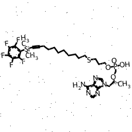 C[C@H](Cn1cnc2c(N)ncnc21)OCP(=O)(O)OCCCSCCCCCCCCCC#C[Si](C)(C)c1c(F)c(F)c(F)c(F)c1F